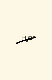 C=CCCCCCCCCC[SiH2]CC=C